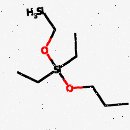 CCCO[Si](CC)(CC)OC[SiH3]